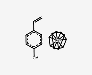 C=Cc1ccc(O)cc1.[CH]12[CH]3[CH]4[CH]5[CH]1[Fe]23451678[CH]2[CH]1[CH]6[CH]7[CH]28